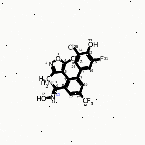 Cc1noc(C)c1-c1c(/C(N)=N/O)cc(C(F)(F)F)cc1-c1cc(F)c(O)c(Cl)c1